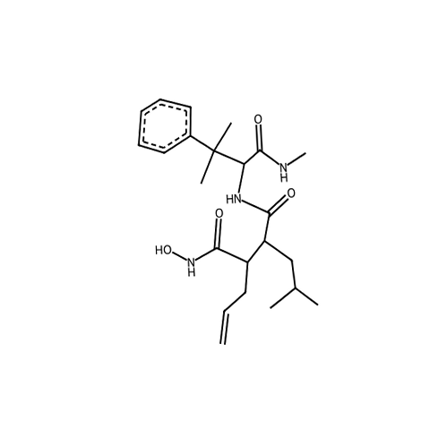 C=CCC(C(=O)NO)C(CC(C)C)C(=O)NC(C(=O)NC)C(C)(C)c1ccccc1